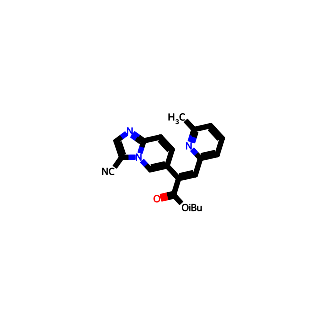 Cc1cccc(/C=C(/C(=O)OCC(C)C)c2ccc3ncc(C#N)n3c2)n1